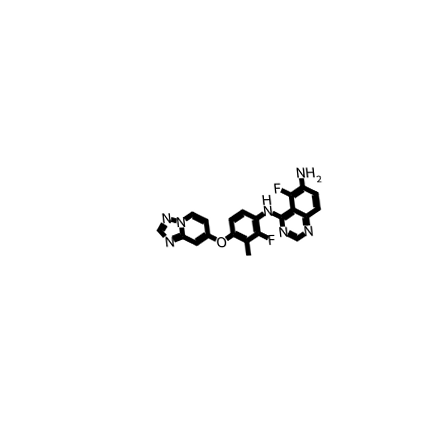 Cc1c(Oc2ccn3ncnc3c2)ccc(Nc2ncnc3ccc(N)c(F)c23)c1F